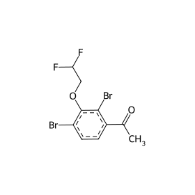 CC(=O)c1ccc(Br)c(OCC(F)F)c1Br